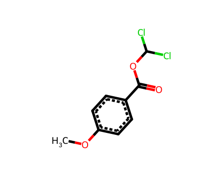 COc1ccc(C(=O)OC(Cl)Cl)cc1